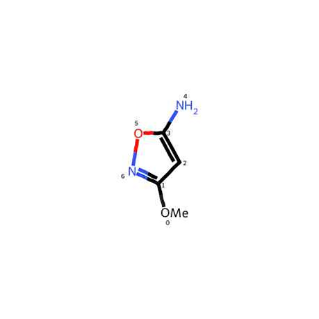 COc1cc(N)on1